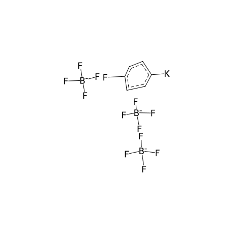 F[B-](F)(F)F.F[B-](F)(F)F.F[B-](F)(F)F.Fc1cc[c]([K])cc1